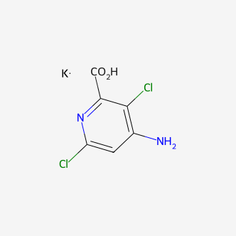 Nc1cc(Cl)nc(C(=O)O)c1Cl.[K]